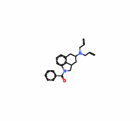 C=CCN(CC=C)C1Cc2cccc3c2C(C1)CN3C(=O)c1ccccc1